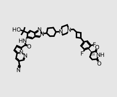 CC(C)(O)c1cc2nn(C3CCC(N4CCN(CC5CC(c6cc(F)c([C@@H]7CCC(=O)NC7=O)c(F)c6)C5)CC4)CC3)cc2cc1NC(=O)c1ccc2cc(C#N)cnn12